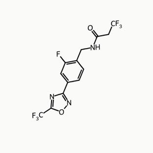 O=C(CC(F)(F)F)NCc1ccc(-c2noc(C(F)(F)F)n2)cc1F